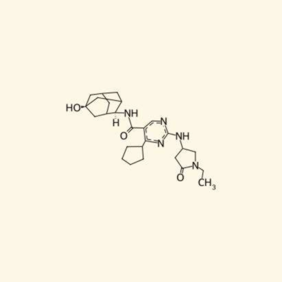 CCN1CC(Nc2ncc(C(=O)N[C@H]3C4CC5CC3C[C@@](O)(C5)C4)c(C3CCCC3)n2)CC1=O